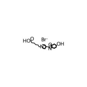 O=C(O)CCCCC[n+]1ccc(-c2nc3ccc(O)cc3o2)cc1.[Br-]